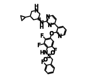 O=S(=O)(Cc1ccccc1F)Nc1c(F)cc(Oc2ncccc2-c2ccnc(N[C@@H]3CNCC(C4CC4)C3)n2)c(F)c1F